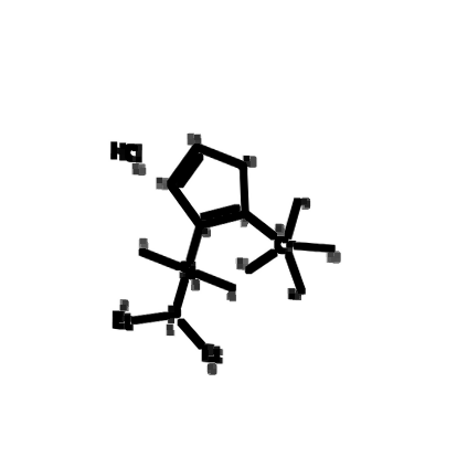 CCP(CC)[Si](C)(C)C1=[C]([Cr]([CH3])([CH3])([CH3])[CH3])CC=C1.Cl